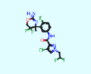 CC1(c2cc(NC(=O)c3nn(CC(F)F)cc3Cl)ccc2F)N=C(N)OCC1(F)F